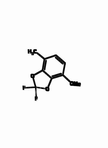 COc1ccc(C)c2c1OC(F)(F)O2